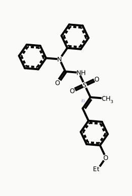 CCOc1ccc(/C=C(\C)S(=O)(=O)NC(=O)N(c2ccccc2)c2ccccc2)cc1